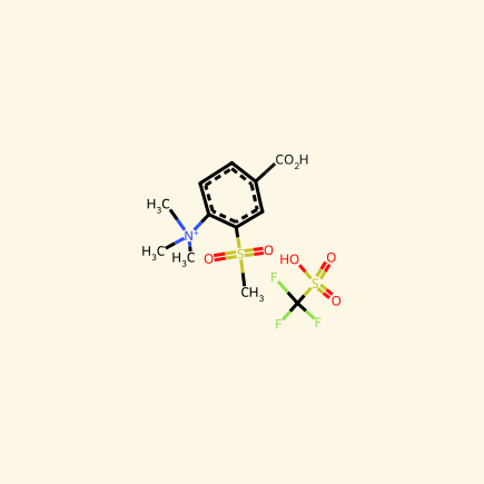 C[N+](C)(C)c1ccc(C(=O)O)cc1S(C)(=O)=O.O=S(=O)(O)C(F)(F)F